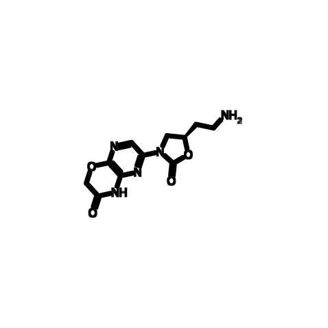 NCC[C@@H]1CN(c2cnc3c(n2)NC(=O)CO3)C(=O)O1